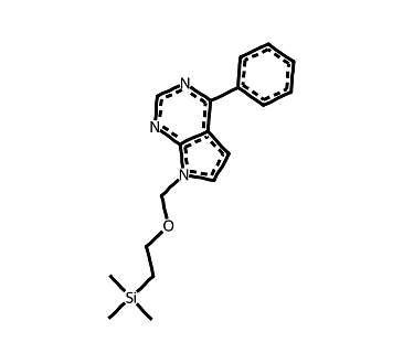 C[Si](C)(C)CCOCn1ccc2c(-c3ccccc3)ncnc21